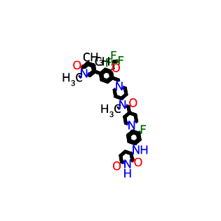 Cc1c(-c2ccc(CN3CCC(N(C)C(=O)C4CCN(c5ccc(NC6CCC(=O)NC6=O)cc5F)CC4)CC3)c(OC(F)(F)F)c2)cn(C)c(=O)c1C